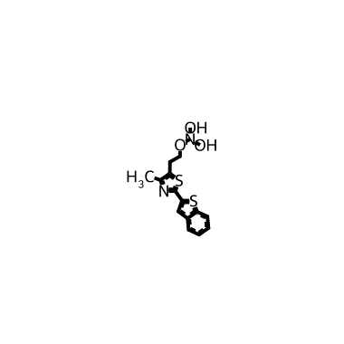 Cc1nc(-c2cc3ccccc3s2)sc1CCON(O)O